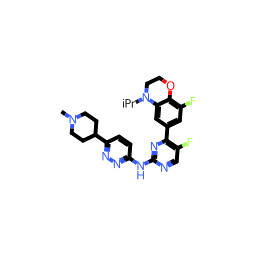 CC(C)N1CCOc2c(F)cc(-c3nc(Nc4ccc(C5CCN(C)CC5)nn4)ncc3F)cc21